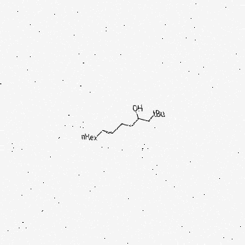 CCCCCCCCCCC(O)CC(C)(C)C